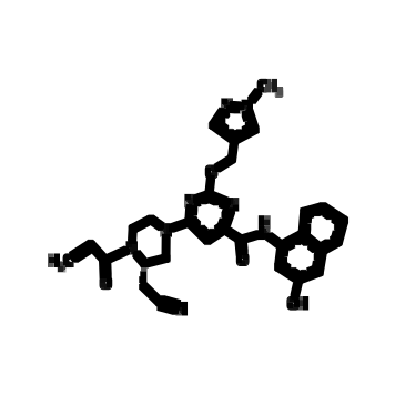 C=CC(=O)N1CCN(c2cc(C(=O)Nc3cc(O)cc4ccccc34)nc(OCc3cnn(C)c3)n2)C[C@@H]1CC#N